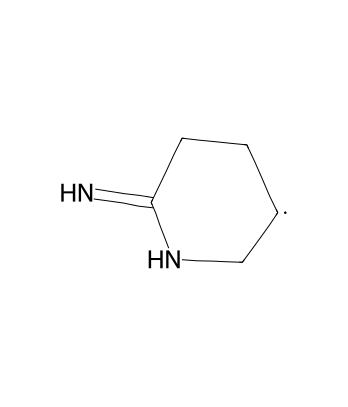 N=C1CC[CH]CN1